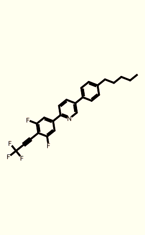 CCCCCc1ccc(-c2ccc(-c3cc(F)c(C#CC(F)(F)F)c(F)c3)nc2)cc1